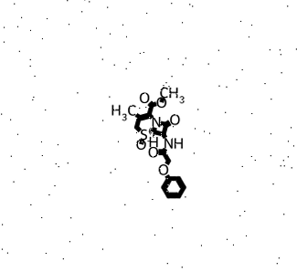 COC(=O)C1=C(C)C[S+]([O-])[C@@H]2C(NC(=O)COc3ccccc3)C(=O)N12